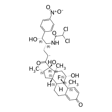 C[C@H]1C[C@H]2[C@@H]3CCC4=CC(=O)C=C[C@]4(C)[C@@]3(F)[C@@H](O)C[C@]2(C)[C@@]1(O)C(=O)[CH]C[C@@H](NC(=O)C(Cl)Cl)[C@H](O)c1ccc([N+](=O)[O-])cc1